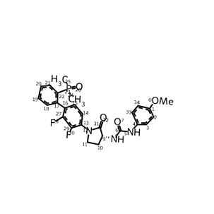 COc1ccc(NC(=O)N[C@@H]2CCN(c3ccc(-c4ccccc4P(C)(C)=O)c(F)c3F)C2=O)cc1